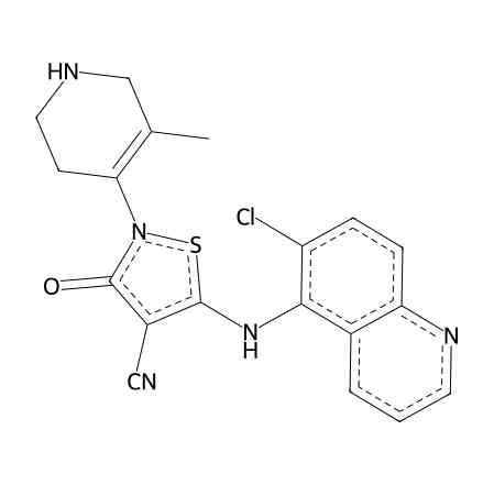 CC1=C(n2sc(Nc3c(Cl)ccc4ncccc34)c(C#N)c2=O)CCNC1